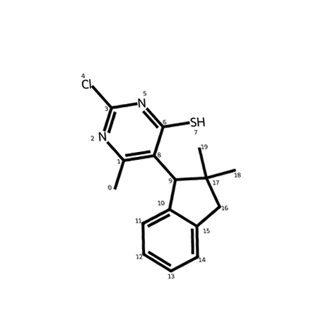 Cc1nc(Cl)nc(S)c1C1c2ccccc2CC1(C)C